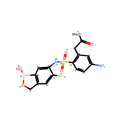 COC(=O)Cc1cc(N)ccc1S(=O)(=O)Nc1cc2c(cc1F)COB2O